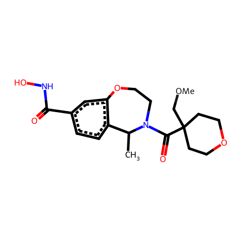 COCC1(C(=O)N2CCOc3cc(C(=O)NO)ccc3C2C)CCOCC1